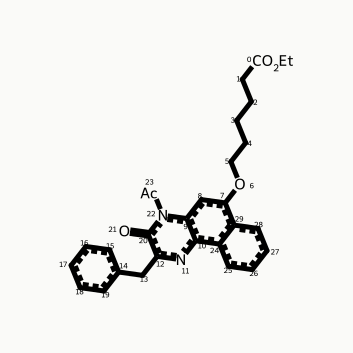 CCOC(=O)CCCCCOc1cc2c(nc(Cc3ccccc3)c(=O)n2C(C)=O)c2ccccc12